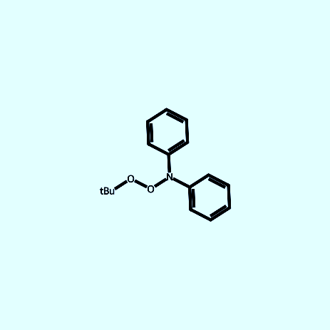 CC(C)(C)OON(c1ccccc1)c1ccccc1